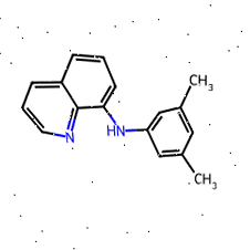 Cc1cc(C)cc(Nc2cccc3cccnc23)c1